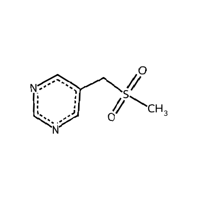 CS(=O)(=O)Cc1cncnc1